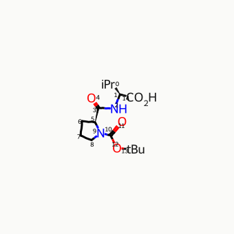 CC(C)[C@H](NC(=O)[C@@H]1CCCN1C(=O)OC(C)(C)C)C(=O)O